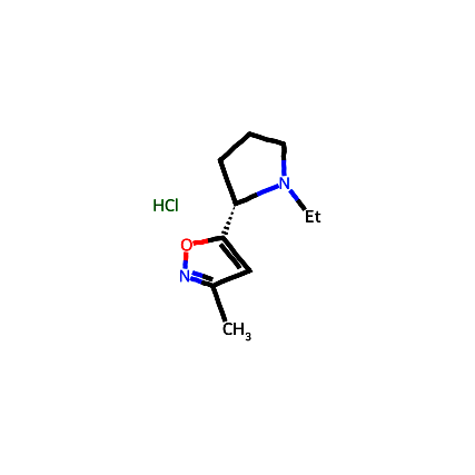 CCN1CCC[C@H]1c1cc(C)no1.Cl